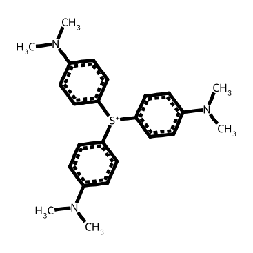 CN(C)c1ccc([S+](c2ccc(N(C)C)cc2)c2ccc(N(C)C)cc2)cc1